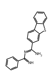 N=C(/N=C(\N)c1ccc2c(c1)sc1ccccc12)c1ccccc1